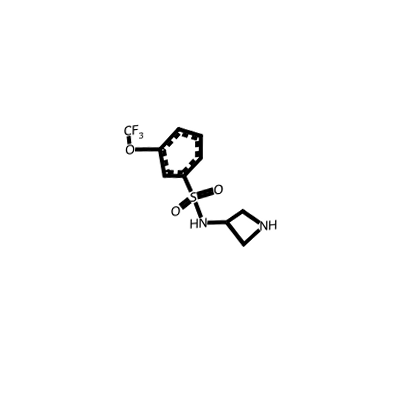 O=S(=O)(NC1CNC1)c1cccc(OC(F)(F)F)c1